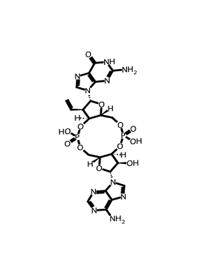 C=C[C@@H]1[C@@H]2OP(=O)(O)OC[C@H]3O[C@@H](n4cnc5c(N)ncnc54)[C@H](O)[C@@H]3OP(=O)(O)OC[C@H]2O[C@H]1n1cnc2c(=O)[nH]c(N)nc21